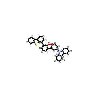 c1ccc2c(c1)sc1c(-c3cccc4c3oc3ccc(-n5c6ccccc6c6ccccc65)cc34)cccc12